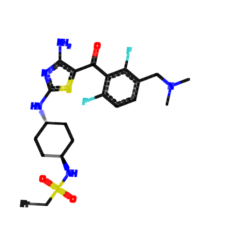 CC(C)CS(=O)(=O)N[C@H]1CC[C@H](Nc2nc(N)c(C(=O)c3c(F)ccc(CN(C)C)c3F)s2)CC1